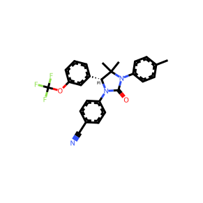 Cc1ccc(N2C(=O)N(c3ccc(C#N)cc3)[C@H](c3cccc(OC(F)(F)F)c3)C2(C)C)cc1